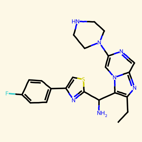 CCc1nc2cnc(N3CCNCC3)cn2c1C(N)c1nc(-c2ccc(F)cc2)cs1